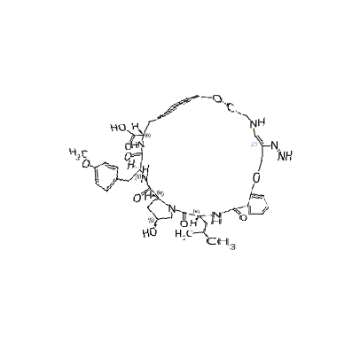 COc1ccc(C[C@@H]2NC(=O)[C@H]3C[C@H](O)CN3C(=O)[C@@H](CC(C)C)NC(=O)c3ccccc3OC/C(N=N)=C/NCCOc3ccc(cc3)C[C@@H](C(=O)O)NC2=O)cc1